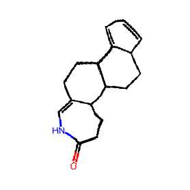 O=C1CCC2C(=CN1)CCC1C3=CC=CC3CCC21